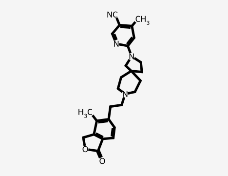 Cc1cc(N2CCC3(CCN(CCc4ccc5c(c4C)COC5=O)CC3)C2)ncc1C#N